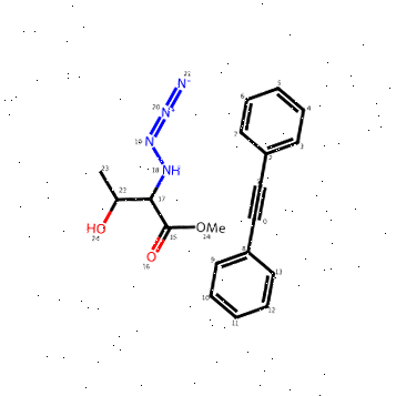 C(#Cc1ccccc1)c1ccccc1.COC(=O)C(NN=[N+]=[N-])C(C)O